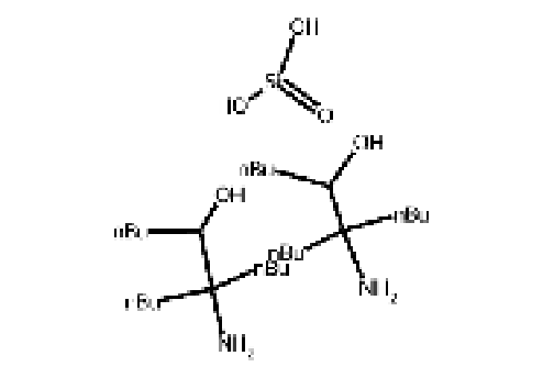 CCCCC(O)C(N)(CCCC)CCCC.CCCCC(O)C(N)(CCCC)CCCC.O=[Si](O)O